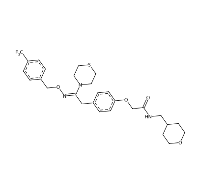 O=C(COc1ccc(CC(=NOCc2ccc(C(F)(F)F)cc2)N2CCSCC2)cc1)NCC1CCOCC1